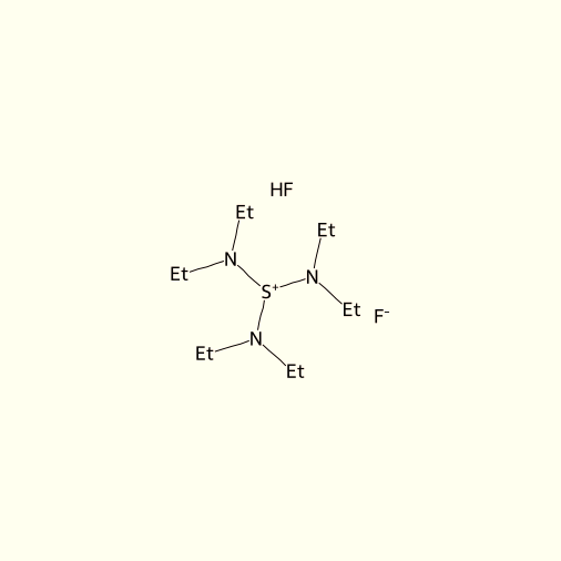 CCN(CC)[S+](N(CC)CC)N(CC)CC.F.[F-]